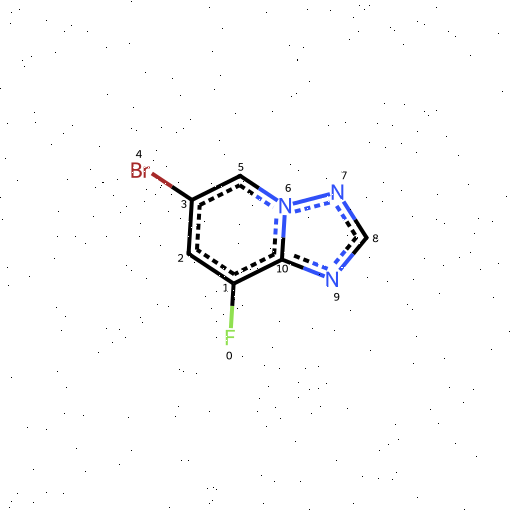 Fc1cc(Br)cn2ncnc12